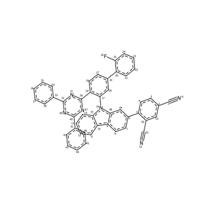 N#Cc1ccc(-c2ccc3c4ccccc4n(-c4cc(-c5ccccc5F)ccc4-c4nc(-c5ccccc5)nc(-c5ccccc5)n4)c3c2)c(C#N)c1